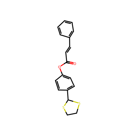 O=C(C=Cc1ccccc1)Oc1ccc(C2SCCS2)cc1